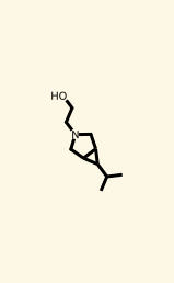 CC(C)C1C2CN(CCO)CC21